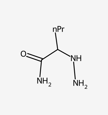 CCCC(NN)C(N)=O